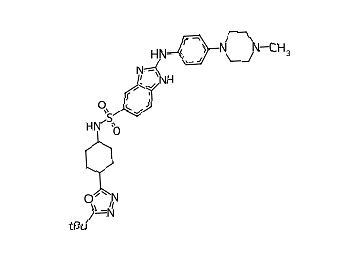 CN1CCN(c2ccc(Nc3nc4cc(S(=O)(=O)NC5CCC(c6nnc(C(C)(C)C)o6)CC5)ccc4[nH]3)cc2)CC1